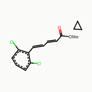 C1CC1.COC(=O)C=CC=Cc1c(Cl)cccc1Cl